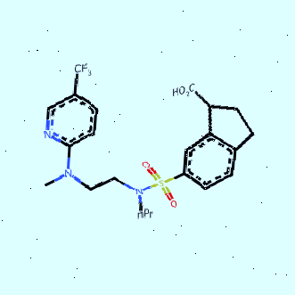 CCCN(CCN(C)c1ccc(C(F)(F)F)cn1)S(=O)(=O)c1ccc2c(c1)C(C(=O)O)CC2